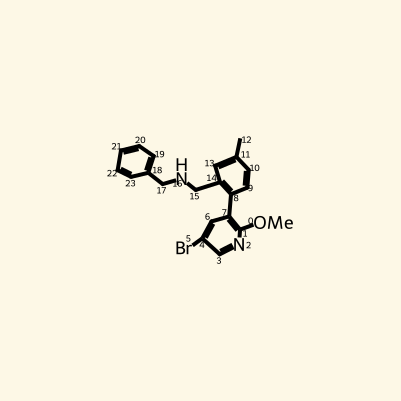 COc1ncc(Br)cc1-c1ccc(C)cc1CNCc1ccccc1